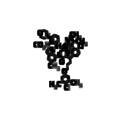 Cc1cc(N2C[C@@H](C)n3c(c(CCCOc4cc(C)c(Cl)c(C)c4)c4ccc(Cl)c(-c5c(C)nn(C)c5C)c43)C2=O)c2c(c1)cc(C(=O)O)n2Cc1cccc(N2CCOCC2)n1